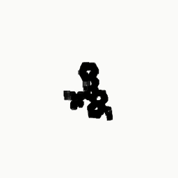 COc1cccc2c1CCC1C(Cc3ccccc3)NCC21.CS(=O)(=O)O